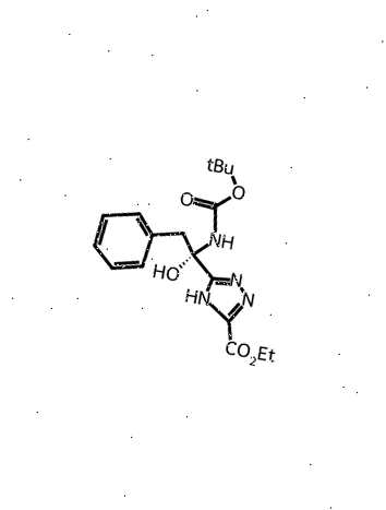 CCOC(=O)c1nnc([C@@](O)(Cc2ccccc2)NC(=O)OC(C)(C)C)[nH]1